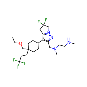 CCOCC1(CCC(F)(F)F)CCC(c2c(CN(C)CCNC)nn3c2CC(F)(F)C3)CC1